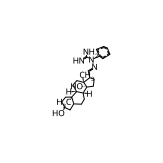 C[C@]12CCC(O)CC1CC[C@@H]1[C@H]2CC[C@]2(C)C(/C=N/N(C(=N)N)c3ccccc3)CC[C@@]12O